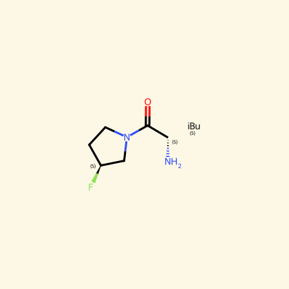 CC[C@H](C)[C@H](N)C(=O)N1CC[C@H](F)C1